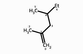 C=C(C)CC(C)CC